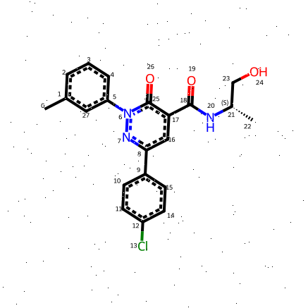 Cc1cccc(-n2nc(-c3ccc(Cl)cc3)cc(C(=O)N[C@@H](C)CO)c2=O)c1